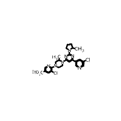 CCOC(=O)c1cnc(N2CCN(c3cc(-c4cncc(Cl)c4)nc(N4CCCC4C)n3)C(C)C2)c(Cl)c1